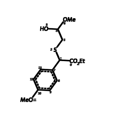 CCOC(=O)C(SCC(O)OC)c1ccc(OC)cc1